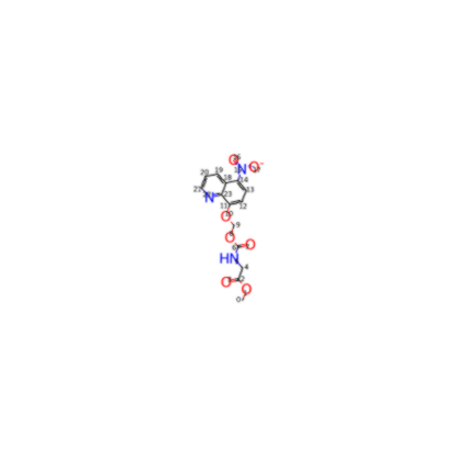 COC(=O)CNC(=O)OCOc1ccc([N+](=O)[O-])c2cccnc12